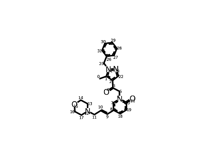 Cc1c(C(=O)Cn2cc(C=CCN3CCOCC3)ccc2=O)cnn1Cc1ccccc1